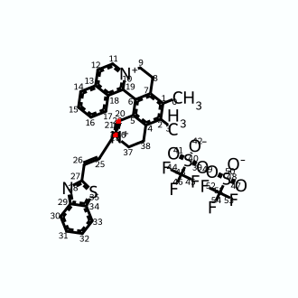 Cc1c(C)c2c(c3c1CC[n+]1ccc4ccccc4c1-3)-c1cccc(/C=C/c3nc4ccccc4s3)[n+]1CC2.O=S(=O)([O-])C(F)(F)F.O=S(=O)([O-])C(F)(F)F